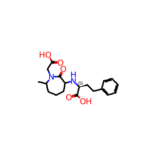 CC1CCCC(N[C@@H](CCc2ccccc2)C(=O)O)C(=O)N1CC(=O)O